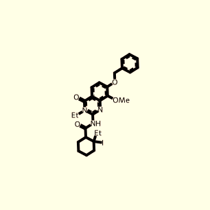 CCn1c(NC(=O)C2CCCCC2(I)CC)nc2c(OC)c(OCc3ccccc3)ccc2c1=O